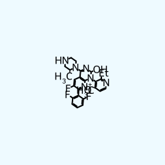 CCc1nccc(C)c1N1c2c(cc(F)c(-c3c(F)cccc3F)[n+]2[O-])C(N2CCNC[C@@H]2C)=NC1O